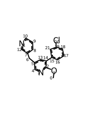 COc1ncc(Cc2cccnc2)cc1-c1cccc(Cl)c1